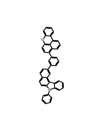 c1ccc(-n2c3ccccc3c3c4cc(-c5cccc(-c6ccc7c8c(cccc68)-c6ccccc6O7)c5)ccc4ccc32)cc1